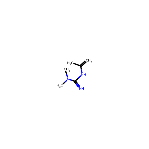 C=C(C)NC(=N)N(C)C